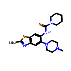 CN1CCN(c2cc3nc(C(C)(C)C)sc3cc2NC(=S)N2CCCCC2)CC1